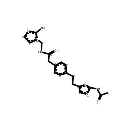 CC(=O)Nc1nc(CCc2ccc(CC(=O)NCn3ccnc3N)cc2)cs1